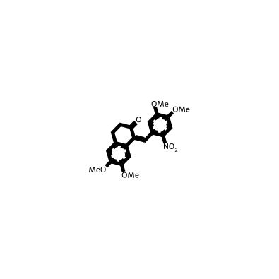 COc1cc(C=C2C(=O)CCc3cc(OC)c(OC)cc32)c([N+](=O)[O-])cc1OC